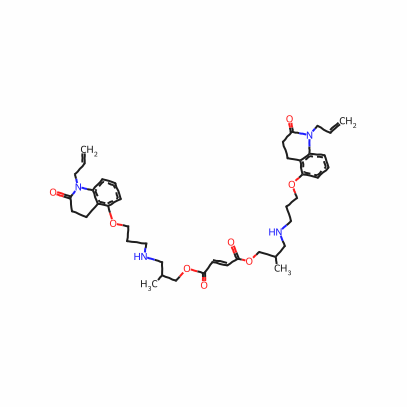 C=CCN1C(=O)CCc2c(OCCCNCC(C)COC(=O)/C=C/C(=O)OCC(C)CNCCCOc3cccc4c3CCC(=O)N4CC=C)cccc21